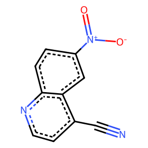 N#Cc1ccnc2ccc([N+](=O)[O-])cc12